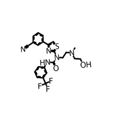 CN(CCO)CCN(C(=O)Nc1cccc(C(F)(F)F)c1)c1nc(-c2cccc(C#N)c2)cs1